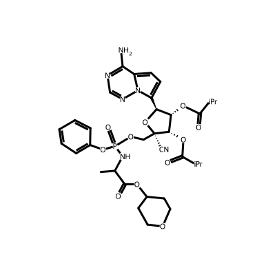 CC(C)C(=O)O[C@H]1[C@H](c2ccc3c(N)ncnn23)O[C@](C#N)(COP(=O)(NC(C)C(=O)OC2CCOCC2)Oc2ccccc2)[C@H]1OC(=O)C(C)C